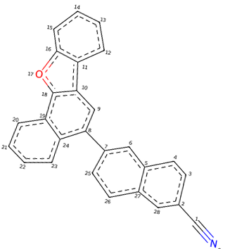 N#Cc1ccc2cc(-c3cc4c5ccccc5oc4c4ccccc34)ccc2c1